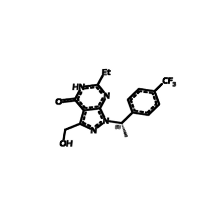 CCc1nc2c(c(CO)nn2[C@@H](C)c2ccc(C(F)(F)F)cc2)c(=O)[nH]1